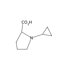 O=C(O)C1CCCN1C1CC1